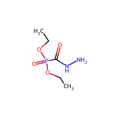 CCOP(=O)(OCC)C(=O)NN